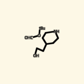 CC(C)(C)OC=O.OCCC1CCNCC1